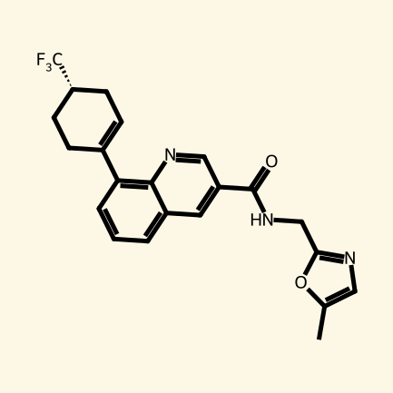 Cc1cnc(CNC(=O)c2cnc3c(C4=CC[C@@H](C(F)(F)F)CC4)cccc3c2)o1